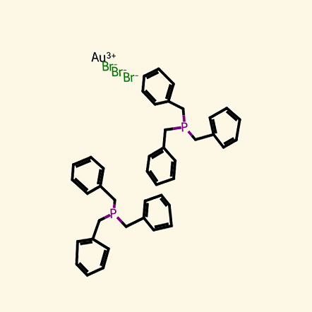 [Au+3].[Br-].[Br-].[Br-].c1ccc(CP(Cc2ccccc2)Cc2ccccc2)cc1.c1ccc(CP(Cc2ccccc2)Cc2ccccc2)cc1